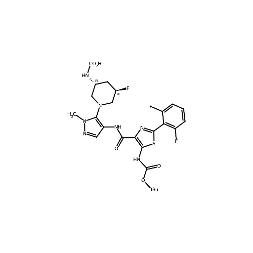 Cn1ncc(NC(=O)c2nc(-c3c(F)cccc3F)sc2NC(=O)OC(C)(C)C)c1N1C[C@H](F)C[C@@H](NC(=O)O)C1